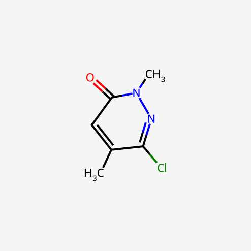 Cc1cc(=O)n(C)nc1Cl